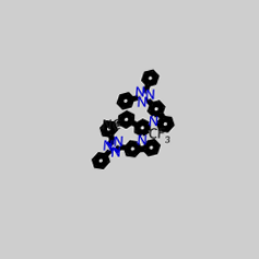 N#Cc1cccc(-c2cc(-n3c4ccccc4c4ccc(-c5nc(-c6ccccc6)nc(-c6ccccc6)n5)cc43)c(C(F)(F)F)c(-n3c4ccccc4c4ccc(-c5nc(-c6ccccc6)nc(-c6ccccc6)n5)cc43)c2)c1